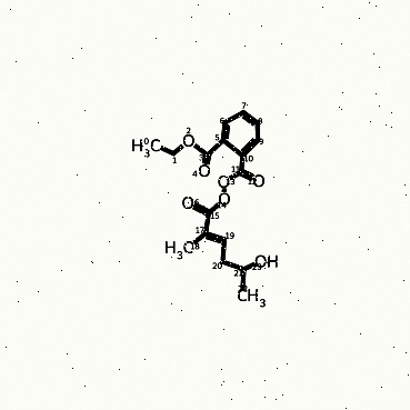 CCOC(=O)c1ccccc1C(=O)OOC(=O)C(C)=CCC(C)O